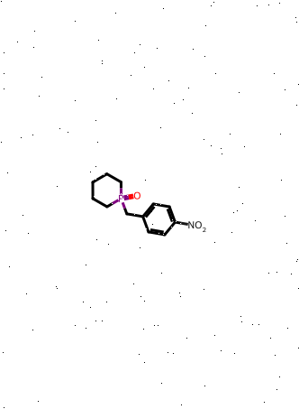 O=[N+]([O-])c1ccc(CP2(=O)CCCCC2)cc1